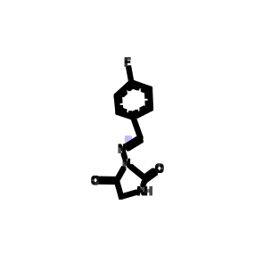 O=C1CNC(=O)N1/N=C/c1ccc(F)cc1